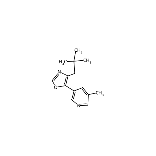 Cc1cncc(-c2ocnc2CC(C)(C)C)c1